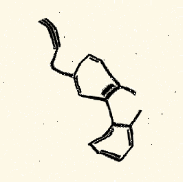 C#CCc1c[c]c(C)c(-c2ccccc2C)c1